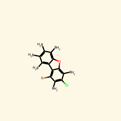 Bc1c(B)c(B)c2c(oc3c(B)c(Cl)c(B)c(Br)c32)c1B